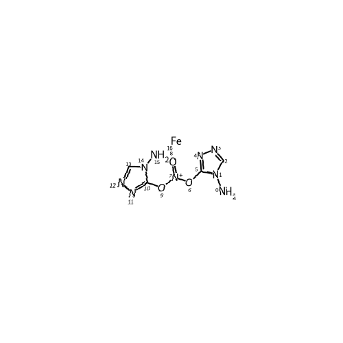 Nn1cnnc1O[N+](=O)Oc1nncn1N.[Fe]